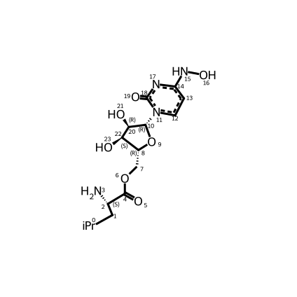 CC(C)C[C@H](N)C(=O)OC[C@H]1O[C@@H](n2ccc(NO)nc2=O)[C@H](O)[C@@H]1O